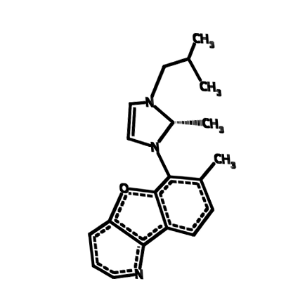 Cc1ccc2c(oc3cccnc32)c1N1C=CN(CC(C)C)[C@@H]1C